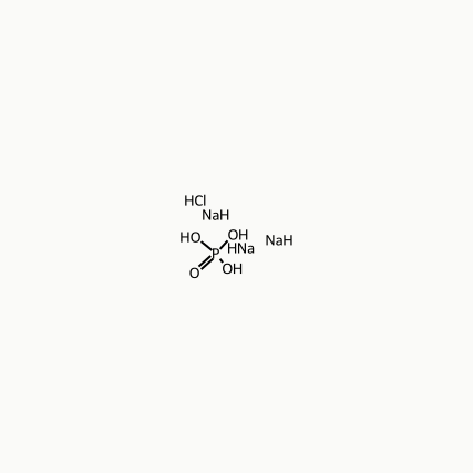 Cl.O=P(O)(O)O.[NaH].[NaH].[NaH]